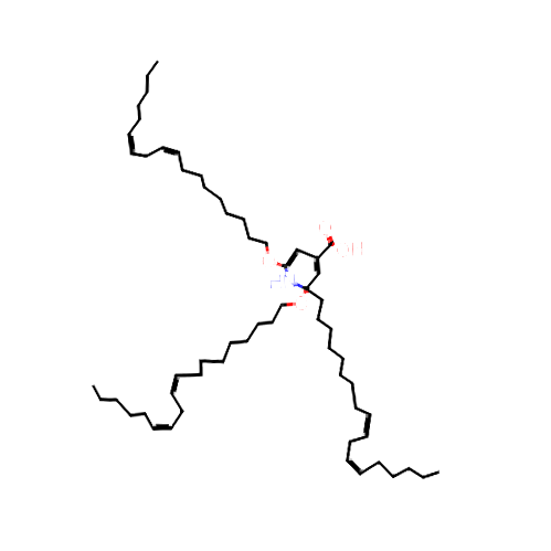 CCCCC/C=C\C/C=C\CCCCCCCCOC1=CC(C(=O)O)=CC(CCCCCCCC/C=C\C/C=C\CCCCC)(OCCCCCCCC/C=C\C/C=C\CCCCC)N1